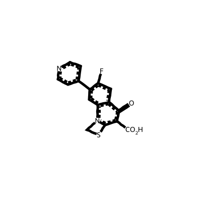 O=C(O)c1c2n(c3cc(-c4ccncc4)c(F)cc3c1=O)CS2